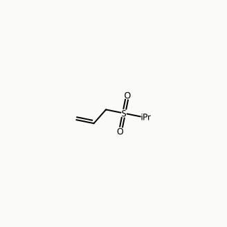 C=CCS(=O)(=O)C(C)C